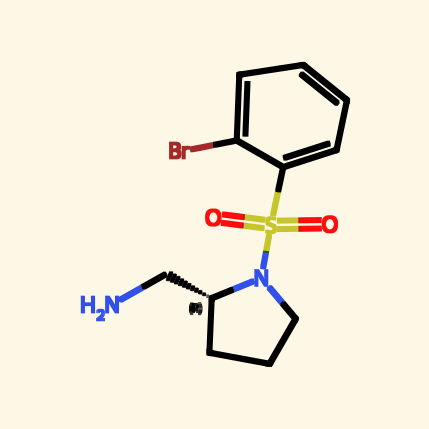 NC[C@H]1CCCN1S(=O)(=O)c1ccccc1Br